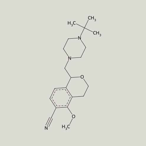 COc1c(C#N)ccc2c1CCOC2CN1CCN(C(C)(C)C)CC1